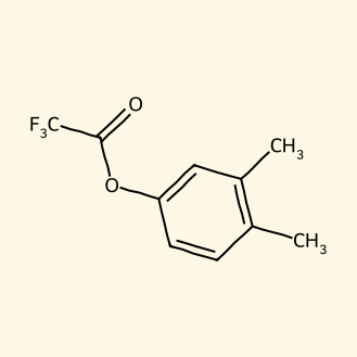 Cc1ccc(OC(=O)C(F)(F)F)cc1C